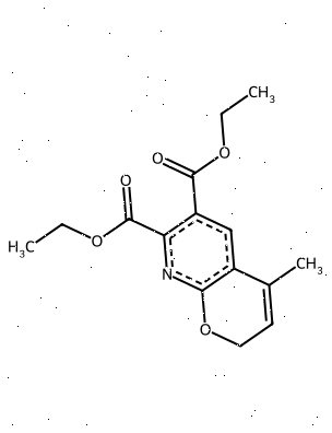 CCOC(=O)c1cc2c(nc1C(=O)OCC)OCC=C2C